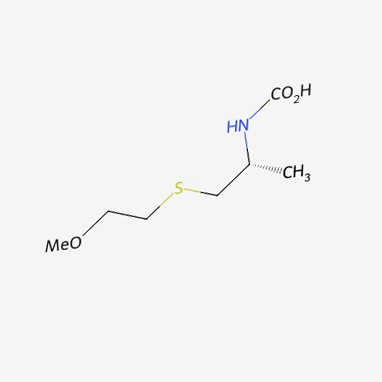 COCCSC[C@@H](C)NC(=O)O